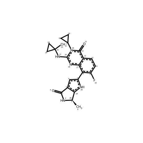 C[C@H]1NC(=O)c2cc(-c3c(F)ccc4c(=O)n(C5CC5)c(NC5(C)CC5)nc34)[nH]c21